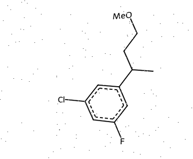 COCC[C](C)c1cc(F)cc(Cl)c1